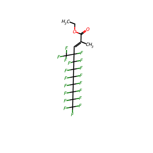 CCOC(=O)C(C)=CC(F)(C(F)(F)F)C(F)(F)C(F)(F)C(F)(F)C(F)(F)C(F)(F)C(F)(F)C(F)(F)F